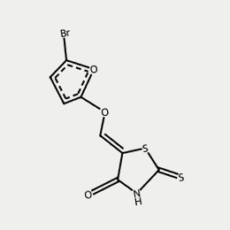 O=C1NC(=S)SC1=COc1ccc(Br)o1